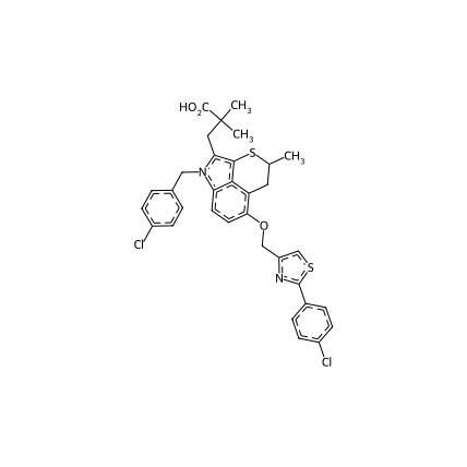 CC1Cc2c(OCc3csc(-c4ccc(Cl)cc4)n3)ccc3c2c(c(CC(C)(C)C(=O)O)n3Cc2ccc(Cl)cc2)S1